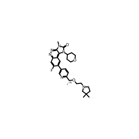 C[C@@H](OCCN1CCC(C)(C)C1)c1ccc(-c2cc3c(cc2F)nnc2c3n(C3CCOCC3)c(=O)n2C)cn1